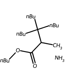 CCCCOC(=O)C(C)C(CCCC)(CCCC)CCCC.N